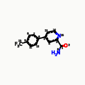 NC(=O)c1cc(-c2ccc(C(F)(F)F)cc2)ccn1